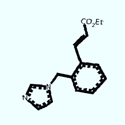 CCOC(=O)/C=C/c1ccccc1Cn1ccnc1